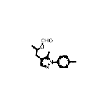 Cc1ccc(-n2ncc(CC(C)OC=O)c2C)cc1